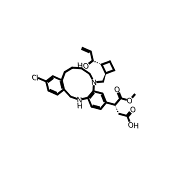 C=CC(O)[C@@H]1CC[C@H]1CN1CCCCc2cc(Cl)ccc2CNc2ccc([C@@H](CC(=O)O)C(=O)OC)cc21